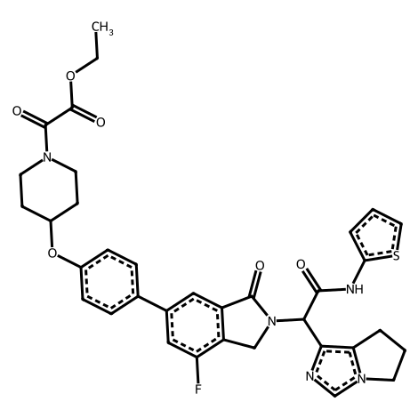 CCOC(=O)C(=O)N1CCC(Oc2ccc(-c3cc(F)c4c(c3)C(=O)N(C(C(=O)Nc3cccs3)c3ncn5c3CCC5)C4)cc2)CC1